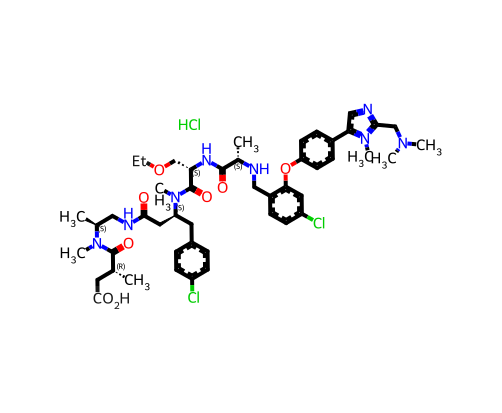 CCOC[C@H](NC(=O)[C@H](C)NCc1ccc(Cl)cc1Oc1ccc(-c2cnc(CN(C)C)n2C)cc1)C(=O)N(C)[C@H](CC(=O)NC[C@H](C)N(C)C(=O)[C@H](C)CC(=O)O)Cc1ccc(Cl)cc1.Cl